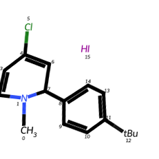 CN1C=CC(Cl)=CC1c1ccc(C(C)(C)C)cc1.I